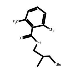 CC(CPC(=O)c1c(C(F)(F)F)cccc1C(F)(F)F)CC(C)(C)C